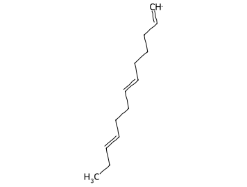 [CH]=CCCCC=CCCC=CCC